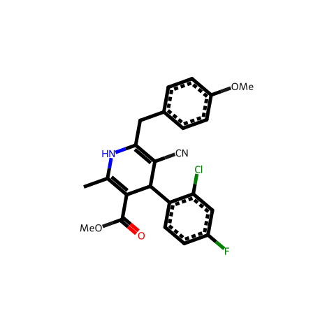 COC(=O)C1=C(C)NC(Cc2ccc(OC)cc2)=C(C#N)C1c1ccc(F)cc1Cl